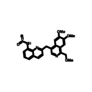 COCc1ncc(Cc2ccc3cccc(N[SH](=O)=O)c3n2)c2cc(OC)c(OC)cc12